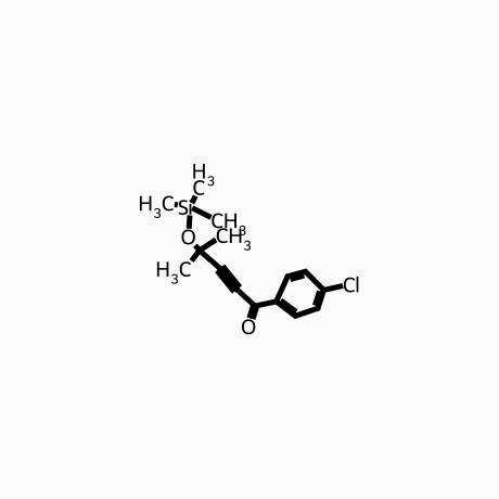 CC(C)(C#CC(=O)c1ccc(Cl)cc1)O[Si](C)(C)C